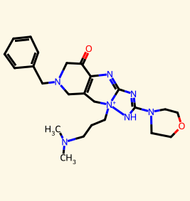 CN(C)CCC[N+]12CC3=C(N=C1N=C(N1CCOCC1)N2)C(=O)CN(Cc1ccccc1)C3